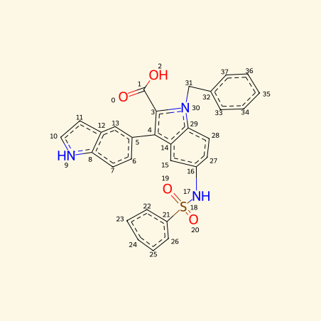 O=C(O)c1c(-c2ccc3[nH]ccc3c2)c2cc(NS(=O)(=O)c3ccccc3)ccc2n1Cc1ccccc1